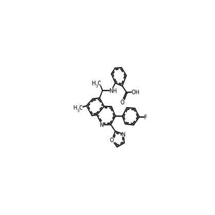 Cc1cc(C(C)Nc2ccccc2C(=O)O)c2cc(-c3ccc(F)cc3)c(-c3ncco3)nc2c1